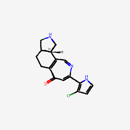 O=c1cc(-c2[nH]ccc2Cl)ncc2c1CCC1CNC[C@H]21